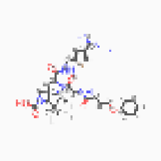 CC(C)(C)C1N(C(=O)O)CC12CC(C(=O)NCc1cc(C(=N)N)cs1)N(C(=O)CNC(=O)CCCOc1ccccc1)C2